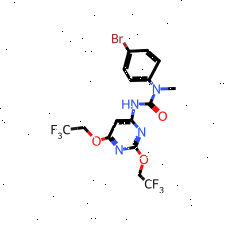 CN(C(=O)Nc1cc(OCC(F)(F)F)nc(OCC(F)(F)F)n1)c1ccc(Br)cc1